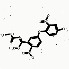 CNC(=O)N=C(OC)c1cc(Oc2ccc(C)cc2[N+](=O)[O-])ccc1[N+](=O)[O-]